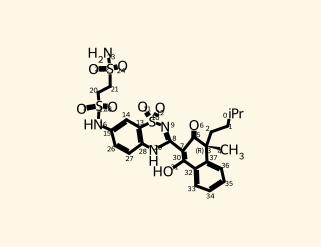 CC(C)CC[C@@]1(C)C(=O)C(C2=NS(=O)(=O)c3cc(NS(=O)(=O)CCS(N)(=O)=O)ccc3N2)=C(O)c2ccccc21